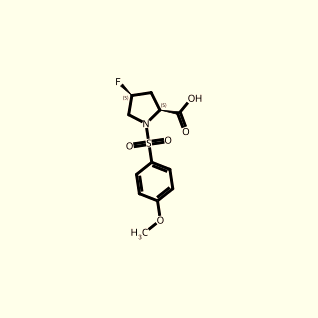 COc1ccc(S(=O)(=O)N2C[C@@H](F)C[C@H]2C(=O)O)cc1